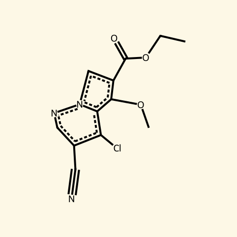 CCOC(=O)c1cn2ncc(C#N)c(Cl)c2c1OC